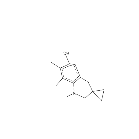 Cc1c(O)cc2c(c1C)N(C)CC1(CC1)C2